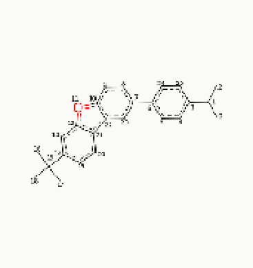 CC(C)c1ccc(-c2ccc3oc4cc(C(C)(C)C)ccc4c3c2)cc1